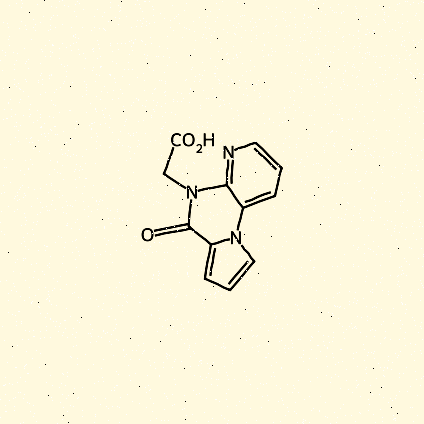 O=C(O)Cn1c(=O)c2cccn2c2cccnc21